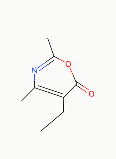 CCc1c(C)nc(C)oc1=O